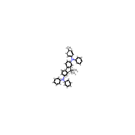 CC1C=CC(N(c2ccccc2)c2ccc3c(c2)C(C)(C)c2cc(N(c4ccccc4)c4ccccc4)ccc2-3)=CC1